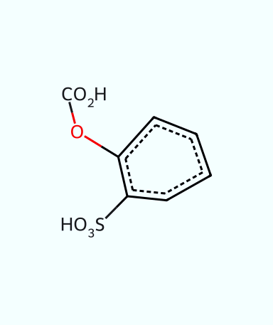 O=C(O)Oc1ccccc1S(=O)(=O)O